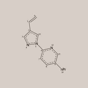 C=Cc1cnn(-c2ccc(CCC)cn2)c1